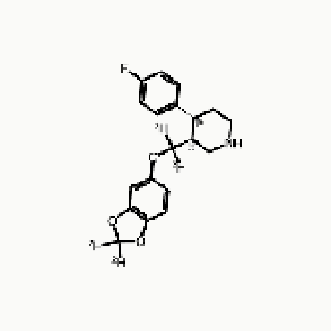 [2H]C1([2H])Oc2ccc(OC([2H])([2H])[C@@H]3CNCC[C@H]3c3ccc(F)cc3)cc2O1